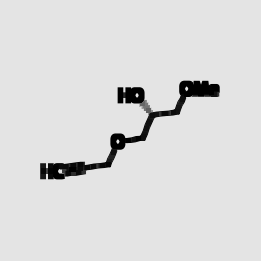 C#CCOC[C@H](O)COC